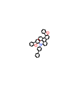 c1ccc(-c2ccc(N(c3cccc4c3oc3ccccc34)c3cccc4c5ccc6oc7ccccc7c6c5c5ccccc5c34)cc2)cc1